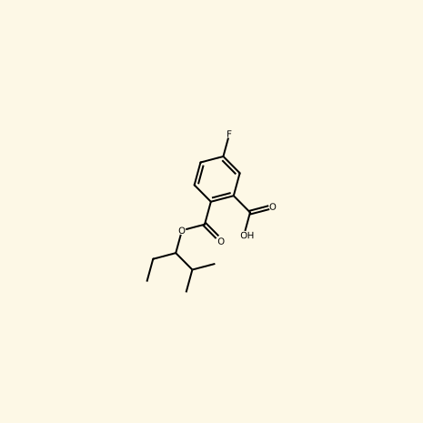 CCC(OC(=O)c1ccc(F)cc1C(=O)O)C(C)C